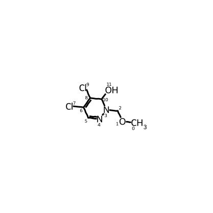 COCN1N=CC(Cl)=C(Cl)C1O